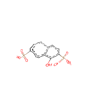 O=S(=O)(O)c1ccc2ccc(S(=O)(=O)O)c(O)c2c1